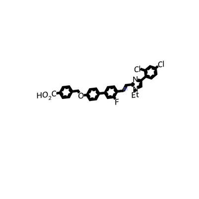 CCn1cc(-c2ccc(Cl)cc2Cl)nc1/C=C/c1ccc(-c2ccc(OCc3ccc(C(=O)O)cc3)cc2)cc1F